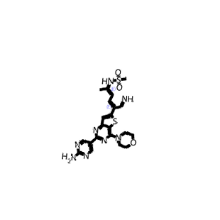 C/C(=C\C=C(/C=N)c1cc2nc(-c3cnc(N)nc3)nc(N3CCOCC3)c2s1)NS(C)(=O)=O